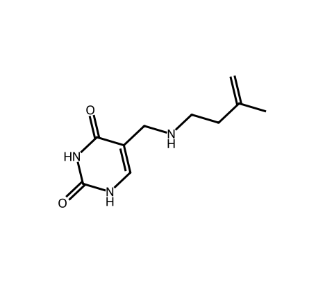 C=C(C)CCNCc1c[nH]c(=O)[nH]c1=O